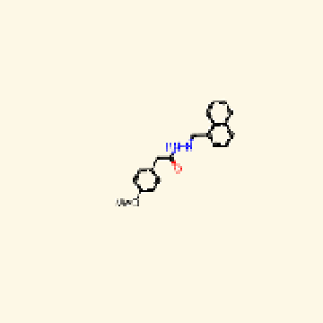 COc1ccc(CC(=O)N/N=C/c2cccc3ccccc23)cc1